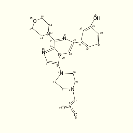 O=S(=O)=CN1CCN(c2cnc3c(N4CCOCC4)nc(-c4cccc(O)c4)cn23)CC1